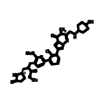 COc1nc(-c2cccc(-c3cc4c(=O)n(C)c(CNC5CCC(O)CC5)nn4c3)c2Cl)ccc1CN(C[C@@H]1CCC(=O)N1)C(=O)OC(C)(C)C